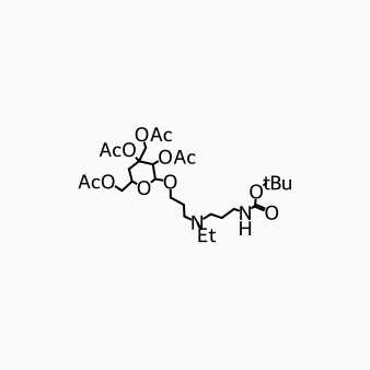 CCN(CCCNC(=O)OC(C)(C)C)CCCOC1OC(COC(C)=O)CC(COC(C)=O)(OC(C)=O)C1OC(C)=O